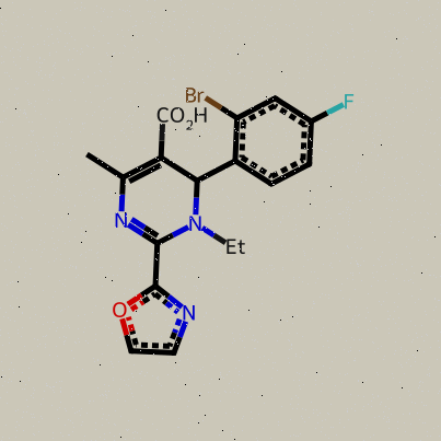 CCN1C(c2ncco2)=NC(C)=C(C(=O)O)C1c1ccc(F)cc1Br